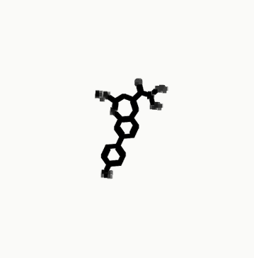 [C-]#[N+]c1ccc(-c2ccc3c(c2)N=C(N)CC(C(=O)N(CCC)CCC)=C3)cc1